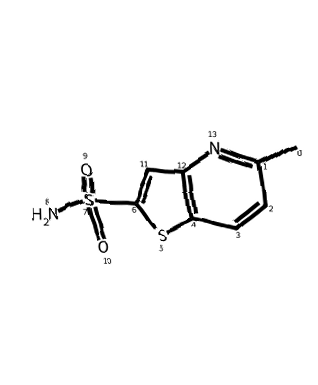 Cc1ccc2sc(S(N)(=O)=O)cc2n1